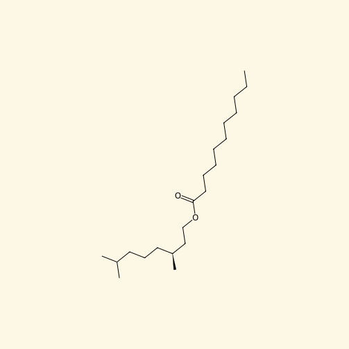 CCCCCCCCCCC(=O)OCC[C@@H](C)CCCC(C)C